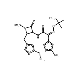 CC(C)(O/N=C(\C(=O)NC1C(=O)N(S(=O)(=O)O)C1Cn1cc(CN)nn1)c1csc(N)n1)C(=O)O